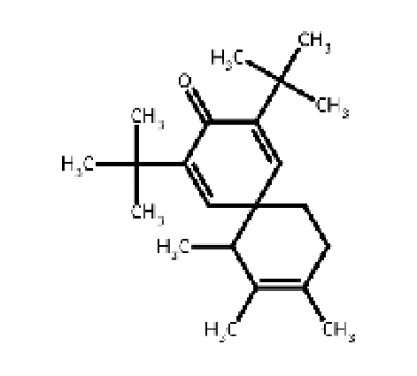 CC1=C(C)C(C)C2(C=C(C(C)(C)C)C(=O)C(C(C)(C)C)=C2)CC1